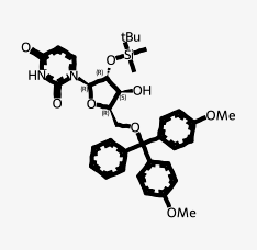 COc1ccc(C(OC[C@H]2O[C@@H](n3ccc(=O)[nH]c3=O)[C@H](O[Si](C)(C)C(C)(C)C)[C@H]2O)(c2ccccc2)c2ccc(OC)cc2)cc1